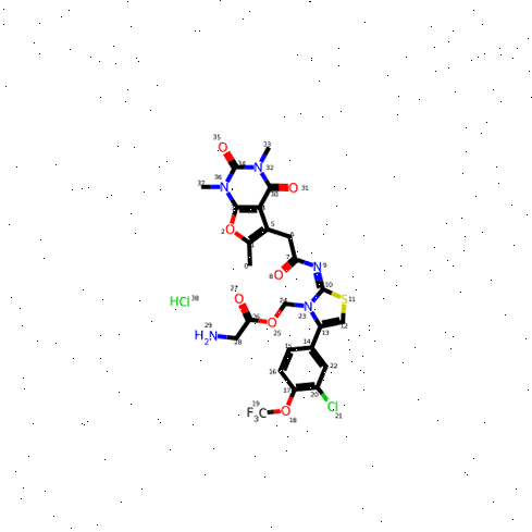 Cc1oc2c(c1CC(=O)N=c1scc(-c3ccc(OC(F)(F)F)c(Cl)c3)n1COC(=O)CN)c(=O)n(C)c(=O)n2C.Cl